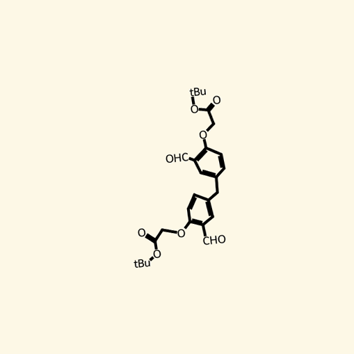 CC(C)(C)OC(=O)COc1ccc(Cc2ccc(OCC(=O)OC(C)(C)C)c(C=O)c2)cc1C=O